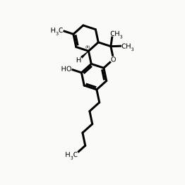 CCCCCCc1cc(O)c2c(c1)OC(C)(C)C1CCC(C)=C[C@@H]21